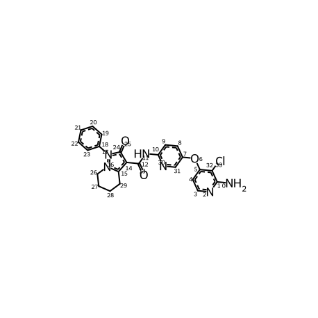 Nc1nccc(Oc2ccc(NC(=O)c3c4n(n(-c5ccccc5)c3=O)CCCC4)nc2)c1Cl